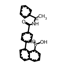 C[C@@H](NC(=O)c1ccc(-c2cccc3cccc(B(O)O)c23)cc1)c1ccccc1